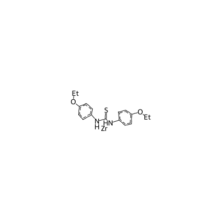 CCOc1ccc(NC(=S)Nc2ccc(OCC)cc2)cc1.[Zr]